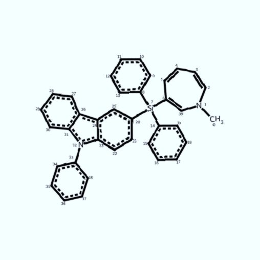 CN1C=CC=CC([Si](c2ccccc2)(c2ccccc2)c2ccc3c(c2)c2ccccc2n3-c2ccccc2)=C1